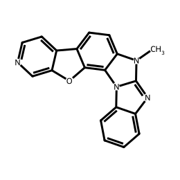 Cn1c2ccc3c4ccncc4oc3c2n2c3ccccc3nc12